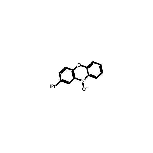 CC(C)c1ccc2c(c1)[S+]([O-])c1ccccc1O2